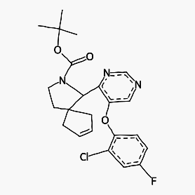 CC(C)(C)OC(=O)N1CCC2(CC=CC2)C1c1ncncc1Oc1ccc(F)cc1Cl